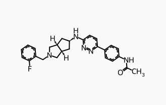 CC(=O)Nc1ccc(-c2ccc(N[C@H]3C[C@@H]4CN(Cc5ccccc5F)C[C@@H]4C3)nn2)cc1